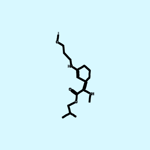 CN/C(C(=O)OCC(C)C)=C1/C=C(NCCCOI)CCC1